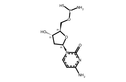 Nc1ccn([C@H]2C[C@H](O)[C@@H](COP(N)S)O2)c(=O)n1